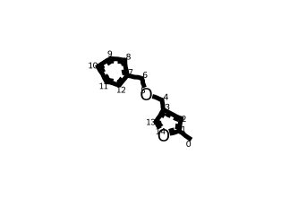 Cc1cc(COCc2ccccc2)co1